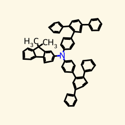 CC1(C)c2ccccc2-c2ccc(N(c3ccc(-c4cc(-c5ccccc5)ccc4-c4ccccc4)cc3)c3ccc(-c4cc(-c5ccccc5)ccc4-c4ccccc4)cc3)cc21